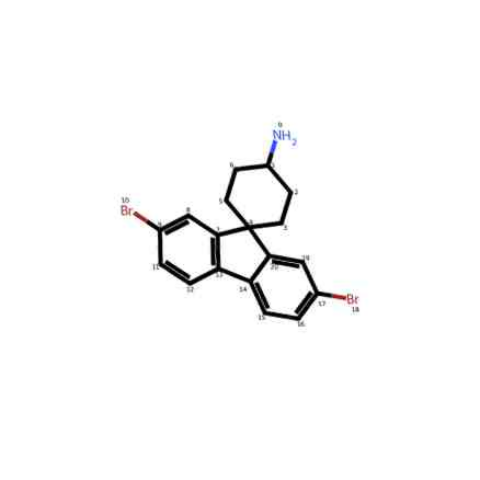 NC1CCC2(CC1)c1cc(Br)ccc1-c1ccc(Br)cc12